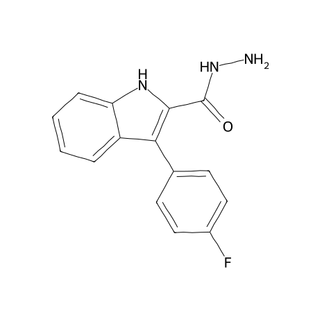 NNC(=O)c1[nH]c2ccccc2c1-c1ccc(F)cc1